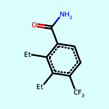 CCc1c(C(N)=O)ccc(C(F)(F)F)c1CC